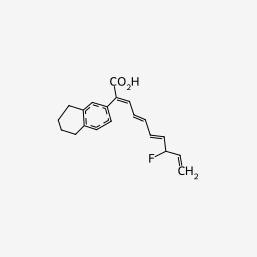 C=CC(F)/C=C/C=C/C=C(/C(=O)O)c1ccc2c(c1)CCCC2